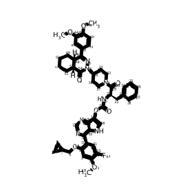 COc1cc(OCC2CC2)c(-c2ncnc3c(OC(=O)N[C@H](Cc4ccccc4)C(=O)N4CCC(N5N=C(c6ccc(OC)c(OC)c6)[C@H]6CCCC[C@H]6C5=O)CC4)c[nH]c23)cc1F